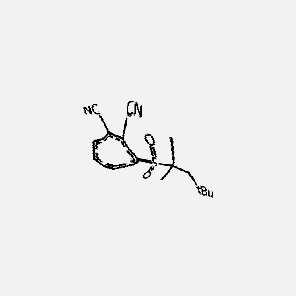 CC(C)(C)CC(C)(C)S(=O)(=O)c1cccc(C#N)c1C#N